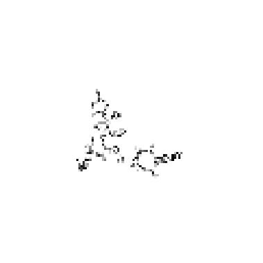 Cc1ccc(S(=O)(=O)N(c2ccc(C(F)(F)F)cc2OCc2ccc(C(=O)[O-])cc2)C(C)C)o1.[Na+]